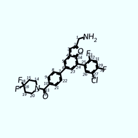 NCc1cc2cc(-c3ccc(C(=O)N4CCC(F)(F)CC4)cc3)cc(-c3cc(Cl)c(F)cc3F)c2o1